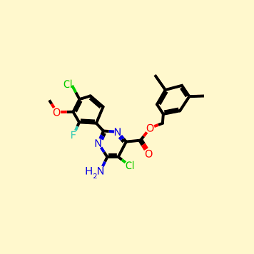 COc1c(Cl)ccc(-c2nc(N)c(Cl)c(C(=O)OCc3cc(C)cc(C)c3)n2)c1F